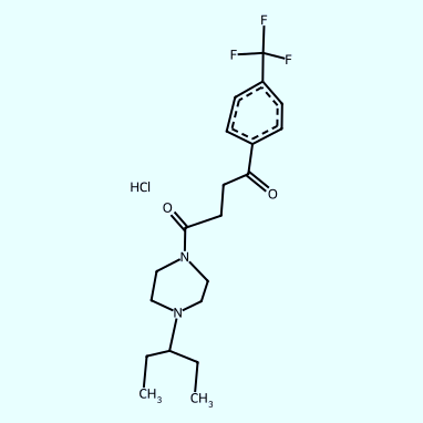 CCC(CC)N1CCN(C(=O)CCC(=O)c2ccc(C(F)(F)F)cc2)CC1.Cl